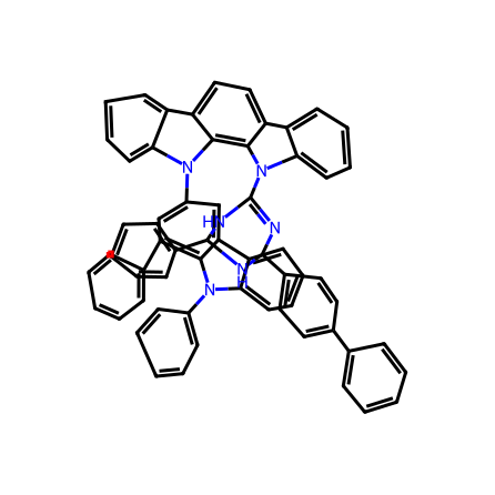 c1ccc(-c2ccc(C3N=C(n4c5ccccc5c5ccc6c7ccccc7n(-c7cc(-c8ccccc8)c8c(c7)c7ccccc7n8-c7ccccc7)c6c54)NC(c4ccccc4)N3)cc2)cc1